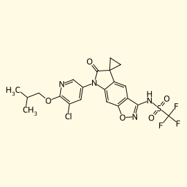 CC(C)COc1ncc(N2C(=O)C3(CC3)c3cc4c(NS(=O)(=O)C(F)(F)F)noc4cc32)cc1Cl